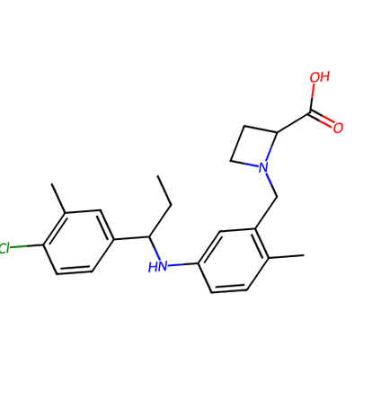 CCC(Nc1ccc(C)c(CN2CCC2C(=O)O)c1)c1ccc(Cl)c(C)c1